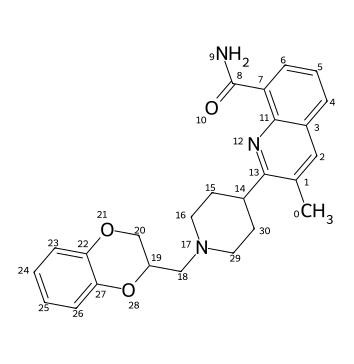 Cc1cc2cccc(C(N)=O)c2nc1C1CCN(CC2COc3ccccc3O2)CC1